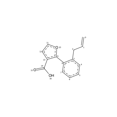 C=CCc1ccccc1-c1occc1C(=O)O